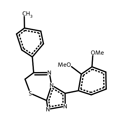 COc1cccc(-c2nnc3n2N=C(c2ccc(C)cc2)CS3)c1OC